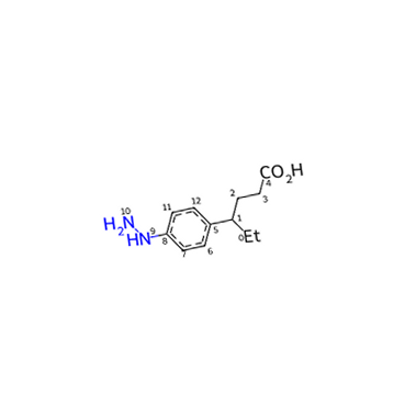 CCC(CCC(=O)O)c1ccc(NN)cc1